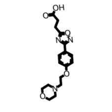 O=C(O)CCc1nc(-c2ccc(OCCN3CCOCC3)cc2)no1